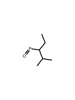 CCC(P=O)C(C)C